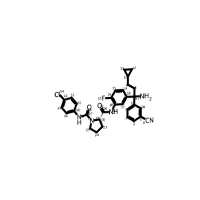 N#Cc1cccc(C(N)(CCC2CC2)c2ccc(F)c(NC(=O)[C@@H]3CCCN3C(=O)Nc3ccc(Cl)cc3)c2)c1